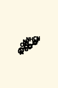 CN1C(=O)C2(CC(C3CCOC(C)(C)C3)Oc3ccc(-c4ccc(F)c(C#N)c4)cc32)N=C1N